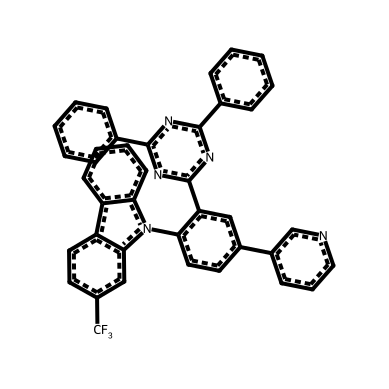 FC(F)(F)c1ccc2c3ccccc3n(-c3ccc(-c4cccnc4)cc3-c3nc(-c4ccccc4)nc(-c4ccccc4)n3)c2c1